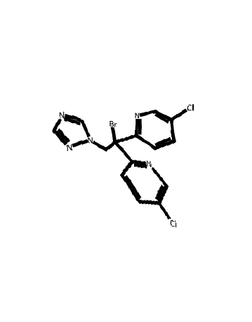 Clc1ccc(C(Br)(Cn2cncn2)c2ccc(Cl)cn2)nc1